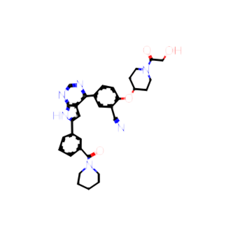 N#Cc1cc(-c2ncnc3[nH]c(-c4cccc(C(=O)N5CCCCC5)c4)cc23)ccc1OC1CCN(C(=O)CO)CC1